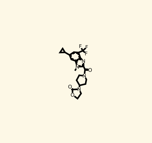 Cn1c(C(=O)N2CCC(N3CCOC3=O)CC2)nc2c(C(F)(F)F)cc(C3CC3)cc21